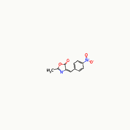 CC1=NC(=Cc2ccc([N+](=O)[O-])cc2)C(=O)O1